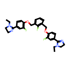 CCN1CCN=C1c1ccc(OCc2cccc(COc3ccc(C4=NCCN4CC)cc3F)c2F)c(F)c1